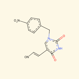 O=N/C=C/c1cn(Cc2ccc([N+](=O)[O-])cc2)c(=O)[nH]c1=O